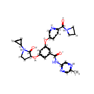 Cc1cnc(NC(=O)c2cc(Oc3ccc(C(=O)N4CCC4)nc3)cc(OC3CCN(C4CC4)C3=O)c2)cn1